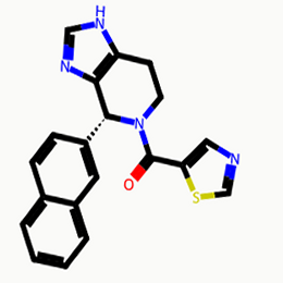 O=C(c1cncs1)N1CCc2[nH]cnc2[C@H]1c1ccc2ccccc2c1